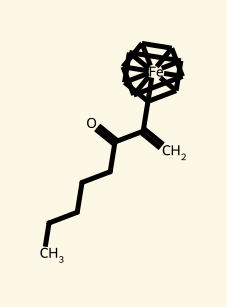 C=C(C(=O)CCCCC)[C]12[CH]3[CH]4[CH]5[CH]1[Fe]45321678[CH]2[CH]1[CH]6[CH]7[CH]28